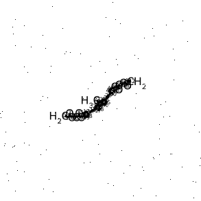 C=CC(=O)OCOC(=O)Oc1ccc(C#Cc2ccc3c(c2)C(C)c2cc(C#Cc4ccc(OC(=O)OCOC(=O)C=C)cc4)ccc2-3)cc1